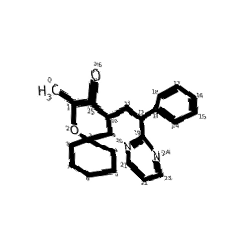 CC1OC2(CCCCC2)CC(CC(c2ccccc2)c2ncccn2)C1=O